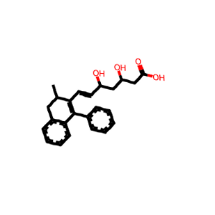 CC1Cc2ccccc2C(c2ccccc2)=C1/C=C/C(O)CC(O)CC(=O)O